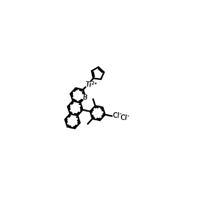 Cc1cc(C)c(-c2c3b[c]([Ti+2][C]4=CC=CC4)ccc3cc3ccccc23)c(C)c1.[Cl-].[Cl-]